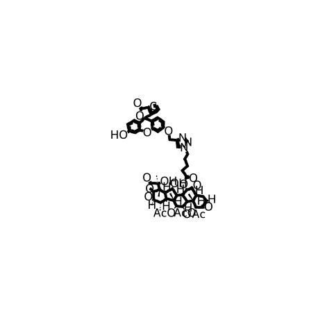 CC(=O)O[C@H]1[C@H]2[C@H]([C@@H]3[C@@H](O)[C@@H]4[C@H]([C@H](C)[C@H]5O[C@]56OC(=O)[C@@](C)(O)[C@]46C)[C@@]3(C)[C@H]1OC(C)=O)[C@@H](OC(=O)CCCCn1cc(COc3ccc4c(c3)Oc3cc(O)ccc3C43OC(=O)c4ccccc43)nn1)C(=O)[C@H]1C[C@@H]3O[C@@H]3[C@H](OC(C)=O)[C@]21C